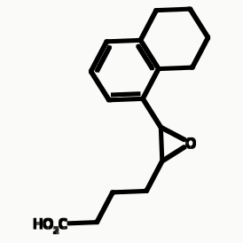 O=C(O)CCCC1OC1c1cccc2c1CCCC2